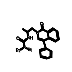 CCN(CC)C(=O)NC(C)Cn1cc(-c2ccccc2)c2ccccc2c1=O